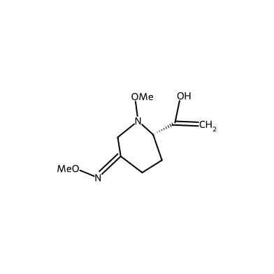 C=C(O)[C@@H]1CC/C(=N/OC)CN1OC